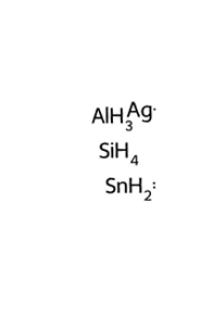 [Ag].[AlH3].[SiH4].[SnH2]